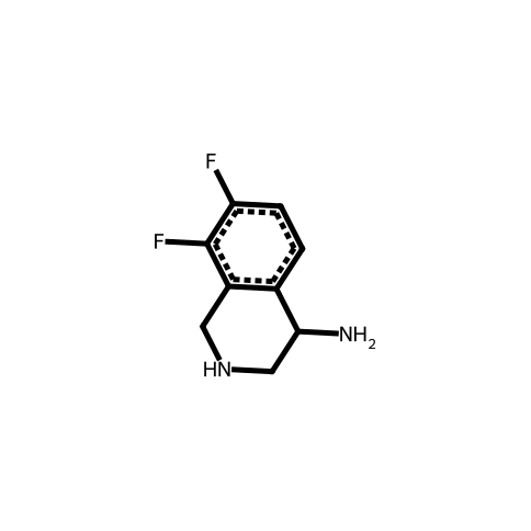 NC1CNCc2c1ccc(F)c2F